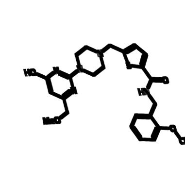 COCc1cc(O)nc(N2CCN(Cc3ccc(C(=O)NCc4ccccc4OC(F)(F)F)s3)CC2)n1